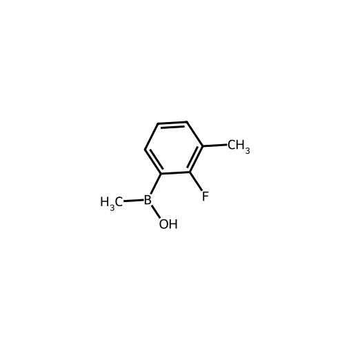 CB(O)c1cccc(C)c1F